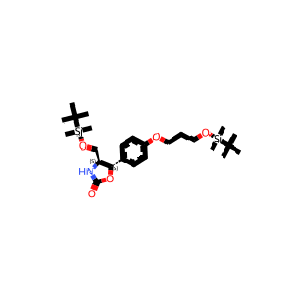 CC(C)(C)[Si](C)(C)OCCCOc1ccc([C@@H]2OC(=O)N[C@H]2CO[Si](C)(C)C(C)(C)C)cc1